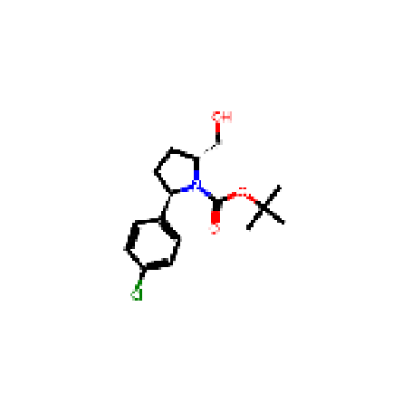 CC(C)(C)OC(=O)N1[C@@H](CO)CC[C@@H]1c1ccc(Cl)cc1